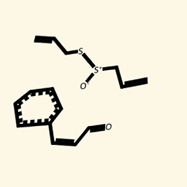 C=CCS[S+]([O-])CC=C.O=C/C=C\c1ccccc1